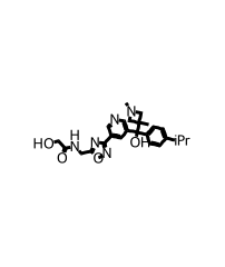 CC(C)c1ccc(C(O)(c2cncc(-c3noc(CNC(=O)CO)n3)c2)C2(C)CN(C)C2)cc1